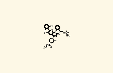 C[C@H]1CN(C(=O)OC(C)(C)C)CCN1c1nc(=O)n(-c2ccccc2CCO[Si](C)(C)C(C)(C)C)c2nc(-c3c(O)cccc3F)c(Cl)cc12